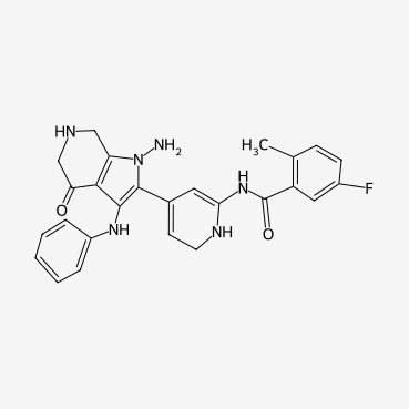 Cc1ccc(F)cc1C(=O)NC1=CC(c2c(Nc3ccccc3)c3c(n2N)CNCC3=O)=CCN1